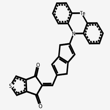 O=C1C(=CC2=CC3=C(C=C(N4c5ccccc5[Te]c5ccccc54)C3)C2)C(=O)c2cscc21